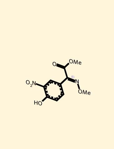 CO/N=C(/C(=O)OC)c1ccc(O)c([N+](=O)[O-])c1